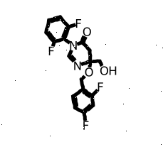 O=C1CC(CO)(OCc2ccc(F)cc2F)N=CN1c1c(F)cccc1F